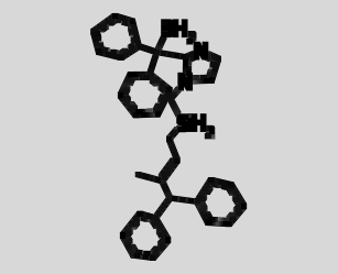 BC(c1ccccc1)(c1ccccc1)c1nccn1C[SiH2]CC=C(C)C(c1ccccc1)c1ccccc1